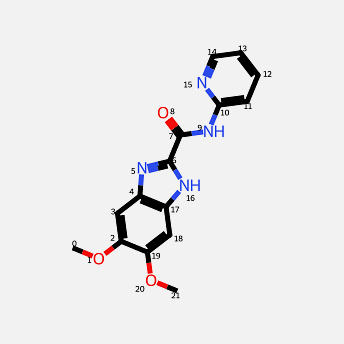 COc1cc2nc(C(=O)Nc3ccccn3)[nH]c2cc1OC